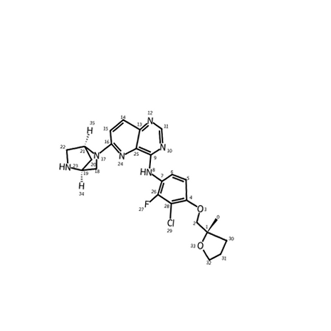 C[C@@]1(COc2ccc(Nc3ncnc4ccc(N5C[C@@H]6C[C@H]5CN6)nc34)c(F)c2Cl)CCCO1